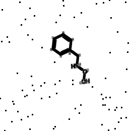 OONCc1ccccc1